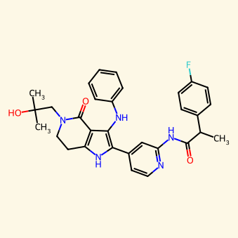 CC(C(=O)Nc1cc(-c2[nH]c3c(c2Nc2ccccc2)C(=O)N(CC(C)(C)O)CC3)ccn1)c1ccc(F)cc1